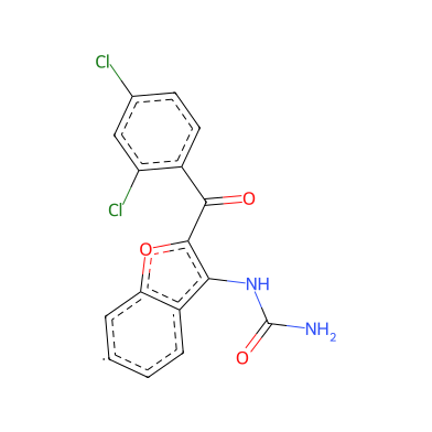 NC(=O)Nc1c(C(=O)c2ccc(Cl)cc2Cl)oc2c[c]ccc12